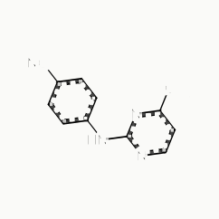 Cc1ccnc(Nc2ccc(C#N)cc2)n1